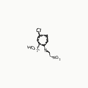 O=C(O)c1cc(Cl)ccc1/N=C/C[N+](=O)[O-]